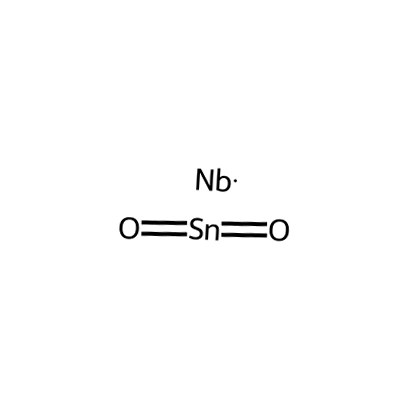 [Nb].[O]=[Sn]=[O]